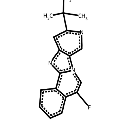 CC(C)(C)c1cc2nc3c4ccccc4c(F)cn3c2cn1